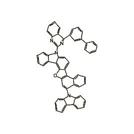 c1ccc(-c2cccc(-c3nc(-n4c5ccccc5c5c6oc7cc(-n8c9ccccc9c9ccccc98)c8ccccc8c7c6ccc54)nc4ccccc34)c2)cc1